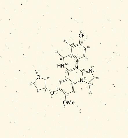 COc1cc2c(cc1OC1CCOC1)c(NC(C)c1cccc(C(F)(F)F)c1C)nc1ncc(C)n12